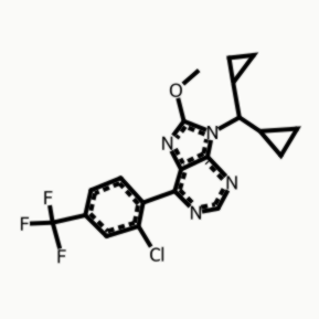 COc1nc2c(-c3ccc(C(F)(F)F)cc3Cl)ncnc2n1C(C1CC1)C1CC1